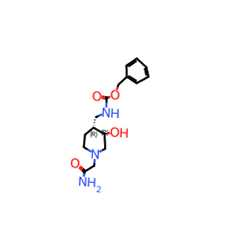 NC(=O)CN1CC[C@H](CNC(=O)OCc2ccccc2)[C@@H](O)C1